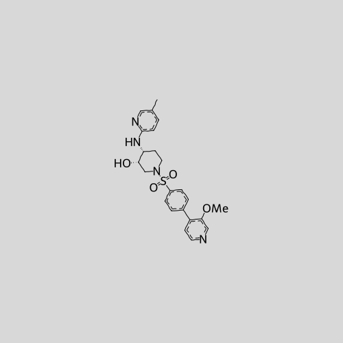 COc1cnccc1-c1ccc(S(=O)(=O)N2CC[C@@H](Nc3ccc(C)cn3)[C@@H](O)C2)cc1